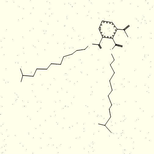 CC(C)CCCCCCCCCOC(=O)c1cccc(C(=O)O)c1C(=O)OCCCCCCCCCC(C)C